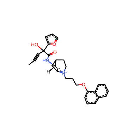 CC#CC(O)(C(=O)N[C@H]1C[N+]2(CCCOc3cccc4ccccc34)CCC1CC2)c1ccco1